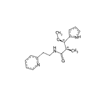 CO[C@@H](c1ccc[nH]1)[C@@H](C)C(=O)NCCc1ccccn1